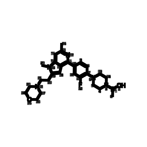 CB(O)N1CCN(c2ccc(-c3nc(C)cc4c3cc(CCN3CCOCC3)n4C)cc2F)CC1